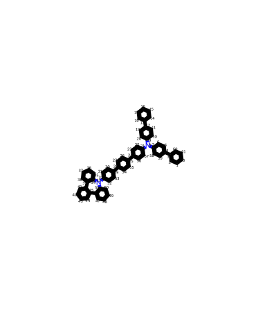 c1ccc(-c2ccc(N(c3ccc(-c4ccccc4)cc3)c3ccc(-c4ccc(-c5ccc(N6c7ccccc7-c7ccccc7-c7ccccc76)cc5)cc4)cc3)cc2)cc1